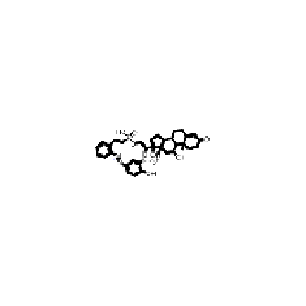 CC12C=CC(=O)C=C1CCC1C2C(O)CC2(C)C1CCC2(O)C(=O)COP(=O)(O)CCc1ccccc1/N=N/c1ccc(O)c(C(=O)O)c1